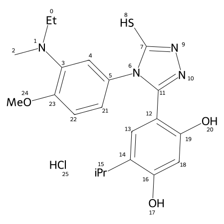 CCN(C)c1cc(-n2c(S)nnc2-c2cc(C(C)C)c(O)cc2O)ccc1OC.Cl